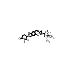 CC(C)(C)OC(=O)N1CC2(C=Cc3cc4c(cc3O2)CN(C2CCC(=O)NC2=O)O4)C1